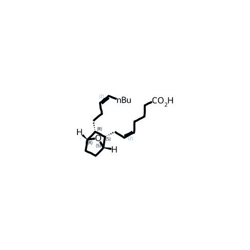 CCCC/C=C\CC[C@@H]1[C@H](C/C=C\CCCC(=O)O)[C@@H]2CC[C@H]1O2